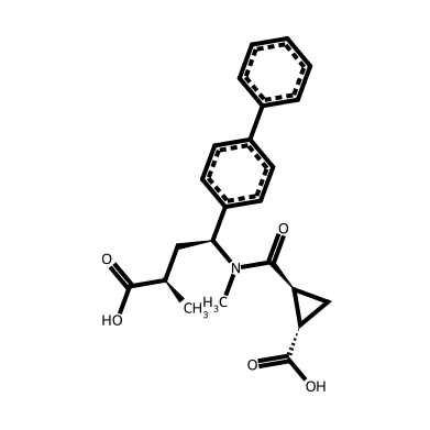 C[C@H](C[C@@H](c1ccc(-c2ccccc2)cc1)N(C)C(=O)[C@H]1C[C@@H]1C(=O)O)C(=O)O